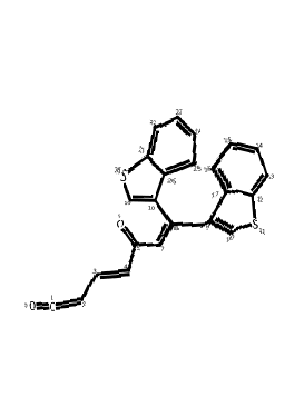 O=C=CC=CC(=O)C=C(c1csc2ccccc12)c1csc2ccccc12